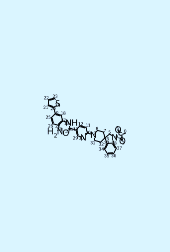 CS(=O)(=O)N1CC2(CCN(c3ccc(C(=O)Nc4cc(-c5cccs5)ccc4N)cn3)CC2)c2ccccc21